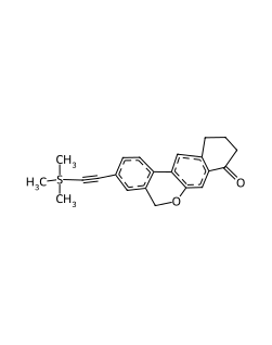 CS(C)(C)C#Cc1ccc2c(c1)COc1cc3c(cc1-2)CCCC3=O